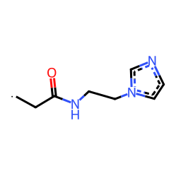 [CH2]CC(=O)NCCn1ccnc1